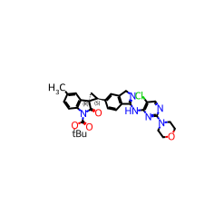 Cc1ccc2c(c1)[C@]1(C[C@H]1c1ccc3c(c1)CN=C3Nc1nc(N3CCOCC3)ncc1Cl)C(=O)N2C(=O)OC(C)(C)C